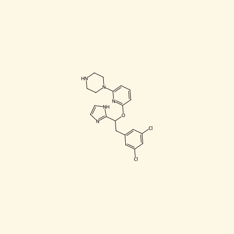 Clc1cc(Cl)cc(CC(Oc2cccc(N3CCNCC3)n2)c2ncc[nH]2)c1